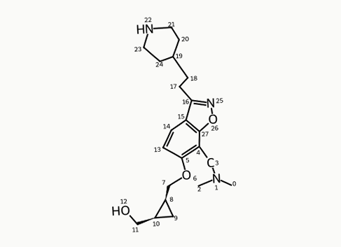 CN(C)Cc1c(OC[C@H]2C[C@H]2CO)ccc2c(CCC3CCNCC3)noc12